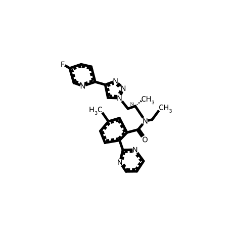 CCN(C(=O)c1cc(C)ccc1-c1ncccn1)[C@@H](C)Cn1cc(-c2ccc(F)cn2)nn1